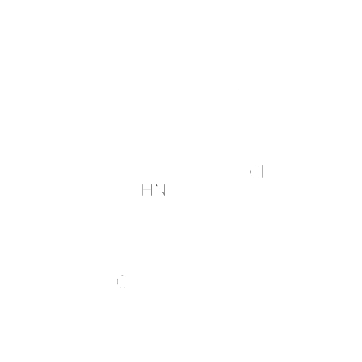 [CH2]c1ccccc1Nc1c(Cl)cccc1Cl